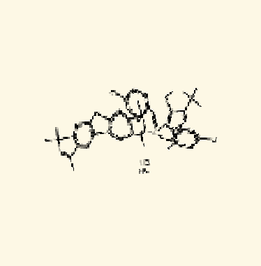 CCC1=[C]([Zr](=[CH]c2ccc(Cl)cc2)(=[CH]c2ccc(Cl)cc2)[C]2=C(C)c3cc4c(cc3C2(C)C)Cc2cc3c(cc2-4)C(C)=CC3(C)C)C(CC)C=C1C(C)(C)C.Cl.Cl